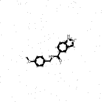 COc1ccc(CNC(=O)c2ccc3[nH]ncc3c2)cc1